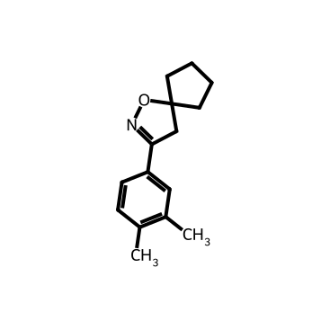 Cc1ccc(C2=NOC3(CCCC3)C2)cc1C